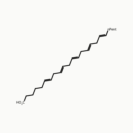 CCCCC/C=C/C/C=C/C/C=C/C/C=C/C/C=C/CCCCC(=O)O